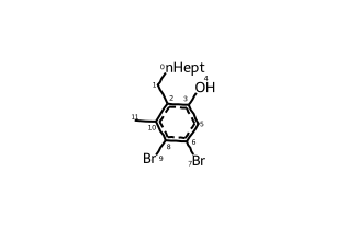 CCCCCCCCc1c(O)cc(Br)c(Br)c1C